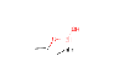 C=COBO.CCCC